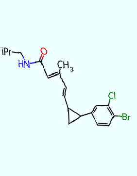 CC(C=CC1CC1c1ccc(Br)c(Cl)c1)=CC(=O)NCC(C)C